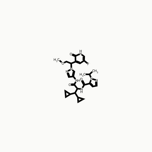 COCC(c1cc(F)c[nH]c1=O)n1cc(NC(=O)C(NC(=O)c2ccnn2C(C)C)C(C2CC2)C2CC2)cn1